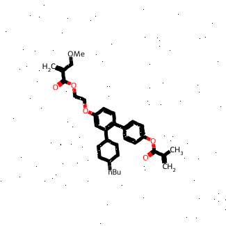 C=C(C)C(=O)Oc1ccc(-c2ccc(OCCOC(=O)C(=C)COC)cc2C2CCC(CCCC)CC2)cc1